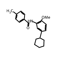 COc1ccc(C2CCCCC2)cc1NC(=O)c1ccc(C)cc1